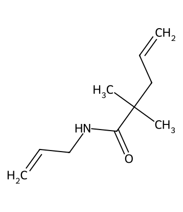 C=CCNC(=O)C(C)(C)CC=C